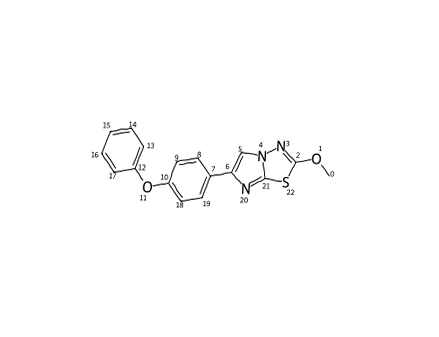 COc1nn2cc(-c3ccc(Oc4ccccc4)cc3)nc2s1